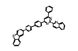 c1ccc(-c2cc(-c3ccc(-c4ccc(-c5ccc6sc7ccccc7c6c5)cc4)cc3)nc(-c3ccc4ccccc4n3)n2)cc1